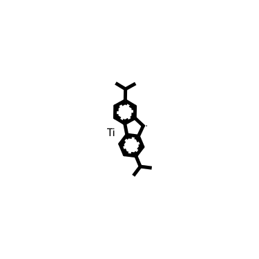 CC(C)c1ccc2c(c1)[CH]c1cc(C(C)C)ccc1-2.[Ti]